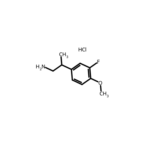 COc1ccc(C(C)CN)cc1F.Cl